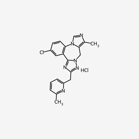 Cc1cccc(Cc2nc3n(n2)Cc2c(C)ncn2-c2ccc(Cl)cc2-3)n1.Cl